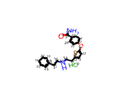 Cl.NC(=O)c1ccc(Oc2ccc(CCNCCc3ccccc3)s2)cc1